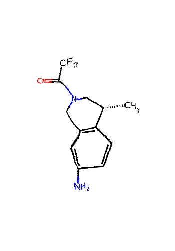 C[C@H]1CN(C(=O)C(F)(F)F)Cc2cc(N)ccc21